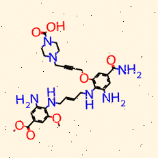 COC(=O)c1cc(N)c(NC/C=C/CNc2c(N)cc(C(N)=O)cc2OCC#CCN2CCN(C(=O)O)CC2)c(OC)c1